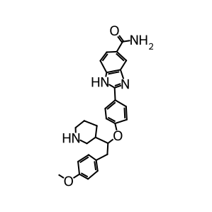 COc1ccc(CC(Oc2ccc(-c3nc4cc(C(N)=O)ccc4[nH]3)cc2)C2CCCNC2)cc1